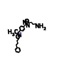 C/C(=N\OCCCCc1ccccc1)c1ccc(-c2noc(CCCN)n2)cc1